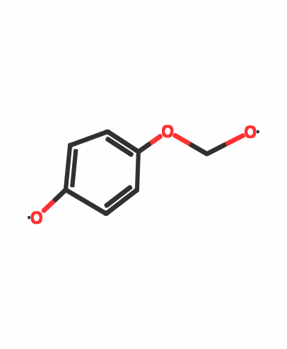 [O]COc1ccc([O])cc1